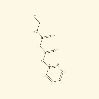 CCOC(=O)CC(=O)C[n+]1ccccc1